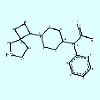 CC(=O)N(c1ccccn1)C1CCN(C2CCC23CCNC3)CC1